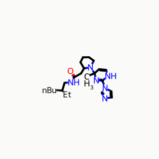 CCCCC(CC)CNC(=O)CC1CCCCN1C1(C)C=CNC(n2ccnc2)=N1